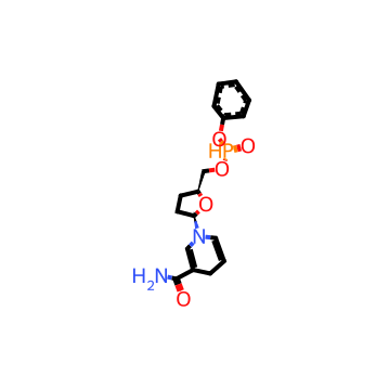 NC(=O)C1=CN([C@H]2CC[C@@H](CO[PH](=O)Oc3ccccc3)O2)C=CC1